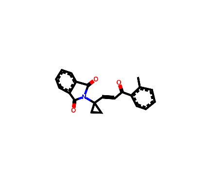 Cc1ccccc1C(=O)/C=C/C1(N2C(=O)c3ccccc3C2=O)CC1